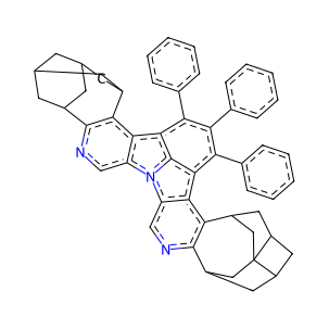 c1ccc(-c2c(-c3ccccc3)c3c4c5c(ncc4n4c6cnc7c(c6c(c2-c2ccccc2)c34)C2CC3CC4CC7CC43C2)C2CC3CC(C2)CC5C3)cc1